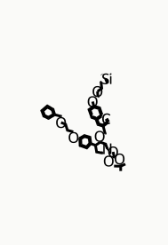 CC(C)(C)OC(=O)ON1CCC(c2ccc(OCCCOCc3ccccc3)cc2)C(OCc2ccc3cc(OCOCC[Si](C)(C)C)ccc3c2)C1